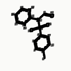 Cc1ccc(S(=O)(=O)N(C=O)c2ncccn2)cc1